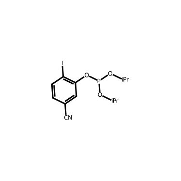 CC(C)OP(Oc1cc(C#N)ccc1I)OC(C)C